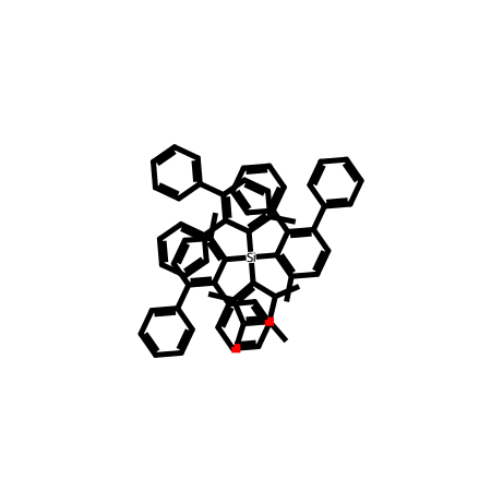 CC1=C(C)C(C)C([Si](c2c(C)ccc(-c3ccccc3)c2-c2ccccc2)(c2c(C)ccc(-c3ccccc3)c2-c2ccccc2)c2c(C)ccc(-c3ccccc3)c2-c2ccccc2)=C1C